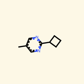 Cc1cnc(C2CCC2)nc1